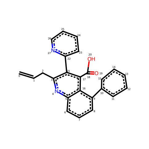 C=CCc1nc2cccc(-c3ccccc3)c2c(C(=O)O)c1-c1ccccn1